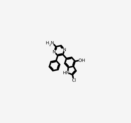 Nc1cnc(-c2cc(O)c3cc(Cl)[nH]c3c2)c(-c2ccccc2)n1